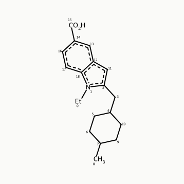 CCn1c(CC2CCC(C)CC2)cc2cc(C(=O)O)ccc21